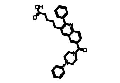 O=C(O)CCCCc1cc2cc(C(=O)N3CCN(c4ccccc4)CC3)ccc2nc1-c1ccccc1